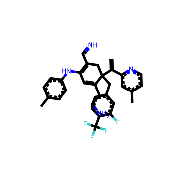 C=C(c1cc(C)ccn1)C1(Cc2ccc(C(F)(F)F)c(F)c2)CC(C=N)=C(Nc2ccc(C)cc2)C=C1CCN